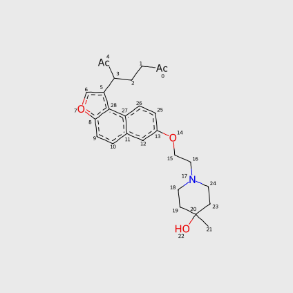 CC(=O)CCC(C(C)=O)c1coc2ccc3cc(OCCN4CCC(C)(O)CC4)ccc3c12